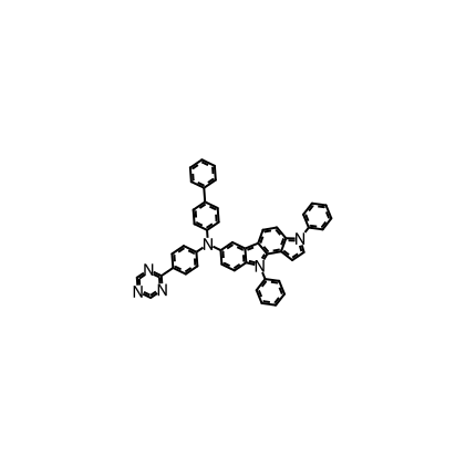 c1ccc(-c2ccc(N(c3ccc(-c4ncncn4)cc3)c3ccc4c(c3)c3ccc5c(ccn5-c5ccccc5)c3n4-c3ccccc3)cc2)cc1